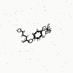 CC(CCC[O])Oc1ccc(OC(F)(F)F)cc1